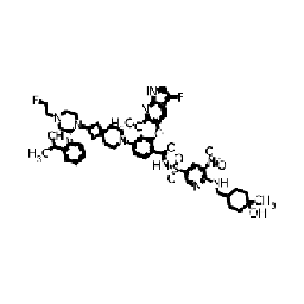 COc1nc2[nH]cc(F)c2cc1Oc1cc(N2CCC3(CC2)CC(N2CCN(CCF)C[C@H]2c2ccccc2C(C)C)C3)ccc1C(=O)NS(=O)(=O)c1cnc(NCC2CCC(C)(O)CC2)c([N+](=O)[O-])c1